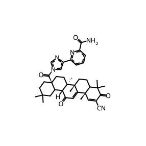 CC1(C)CC[C@]2(C(=O)n3cnc(-c4cccc(C(N)=O)n4)c3)CC[C@]3(C)[C@H](C(=O)C=C4[C@@]5(C)C=C(C#N)C(=O)C(C)(C)C5CC[C@]43C)C2C1